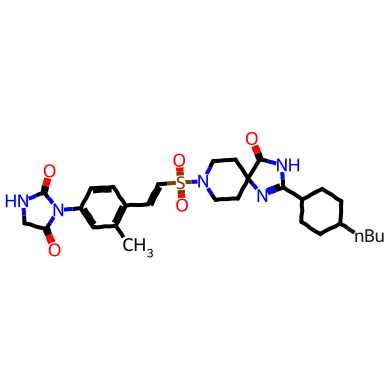 CCCCC1CCC(C2=NC3(CCN(S(=O)(=O)C=Cc4ccc(N5C(=O)CNC5=O)cc4C)CC3)C(=O)N2)CC1